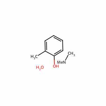 CNC.Cc1ccccc1O.O